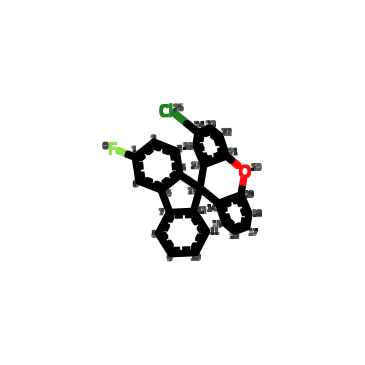 Fc1ccc2c(c1)-c1ccccc1C21c2ccccc2Oc2ccc(Cl)cc21